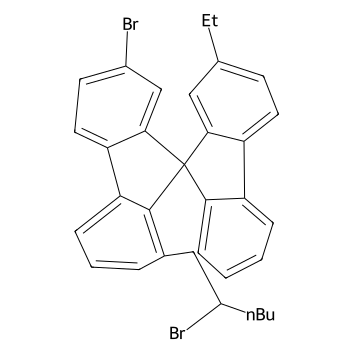 CCCCC(Br)Cc1cccc2c1C1(c3ccccc3-c3ccc(CC)cc31)c1cc(Br)ccc1-2